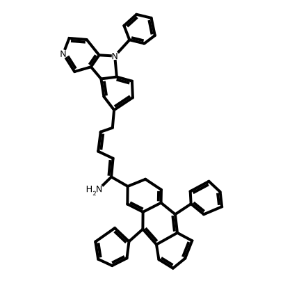 N/C(=C\C=C/Cc1ccc2c(c1)c1cnccc1n2-c1ccccc1)C1C=c2c(-c3ccccc3)c3ccccc3c(-c3ccccc3)c2=CC1